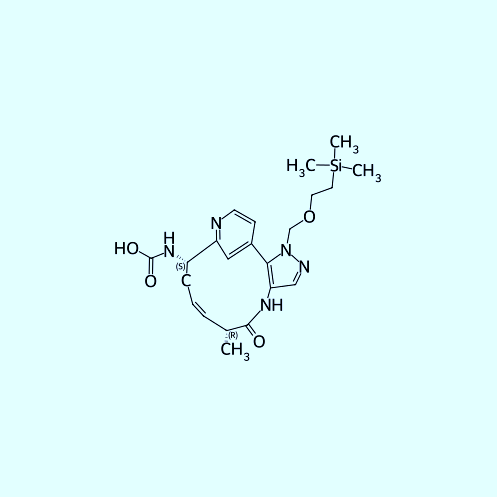 C[C@@H]1C=CC[C@H](NC(=O)O)c2cc(ccn2)-c2c(cnn2COCC[Si](C)(C)C)NC1=O